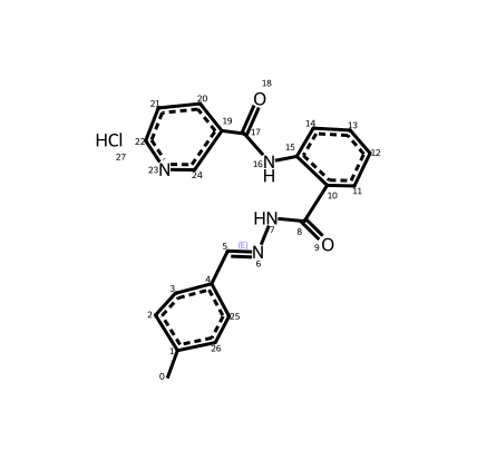 Cc1ccc(/C=N/NC(=O)c2ccccc2NC(=O)c2cccnc2)cc1.Cl